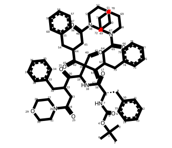 CC(C)(C)OC(=O)N[C@@H](Cc1ccccc1)C(=O)NC(C(=O)C(CC(=O)N1CCOCC1)Cc1ccccc1)C([C]=O)(C(=O)C(CC(=O)N1CCOCC1)Cc1ccccc1)C(=O)C(CC(=O)N1CCOCC1)Cc1ccccc1